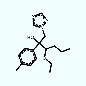 CCCC(OCC)C(O)(Cn1cncn1)c1ccc(C)cc1